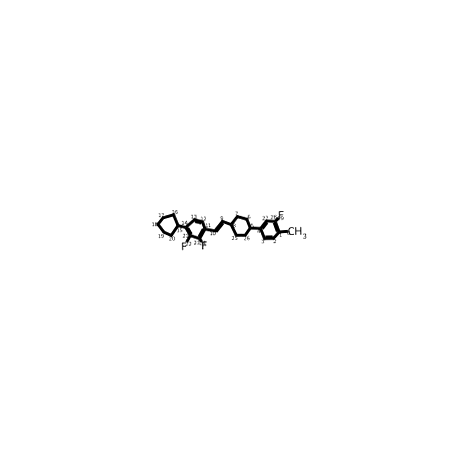 Cc1ccc(C2CCC(/C=C/c3ccc(C4CCCCC4)c(F)c3F)CC2)cc1F